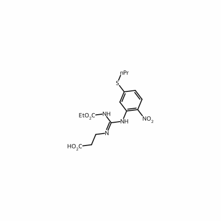 CCCSc1ccc([N+](=O)[O-])c(N/C(=N/CCC(=O)O)NC(=O)OCC)c1